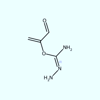 C=C(C=O)O/C(N)=N\N